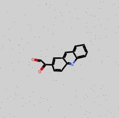 O=CC(=O)c1ccc2nc3ccccc3cc2c1